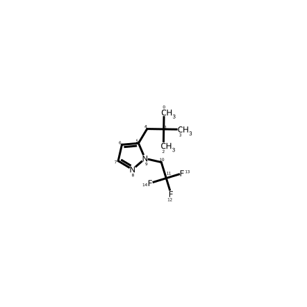 CC(C)(C)Cc1ccnn1CC(F)(F)F